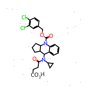 O=C(O)CCC(=O)N(C1CC1)C1c2ccccc2N(C(=O)OCc2ccc(Cl)c(Cl)c2)C2CCCC21